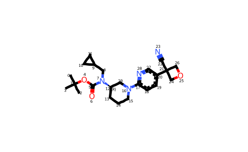 CC(C)(C)OC(=O)N(CC1CC1)[C@@H]1CCCN(c2ccc(C3(C#N)COC3)cn2)C1